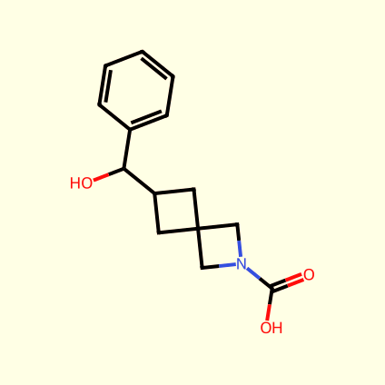 O=C(O)N1CC2(CC(C(O)c3ccccc3)C2)C1